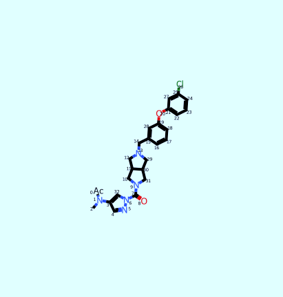 CC(=O)N(C)c1cnn(C(=O)N2CC3CN(Cc4cccc(Oc5cccc(Cl)c5)c4)CC3C2)c1